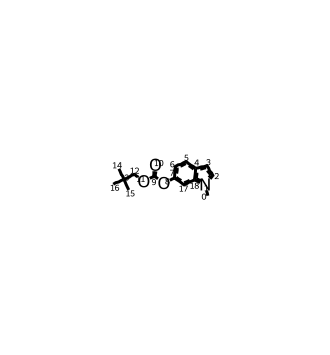 Cn1ccc2ccc(OC(=O)OCC(C)(C)C)cc21